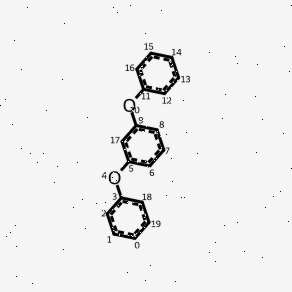 c1ccc(Oc2cccc(Oc3ccccc3)c2)cc1